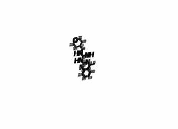 Cc1nc(NC(=N)NCC2CCOCC2)nc2ccccc12